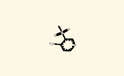 [CH2]S(=O)(=O)c1cnccc1C(F)(F)F